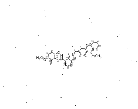 CCC(c1ccc(Cn2cc3c(NCc4c(Cl)ccc(OC)c4F)ncnc3n2)cc1)n1ccccc1=O